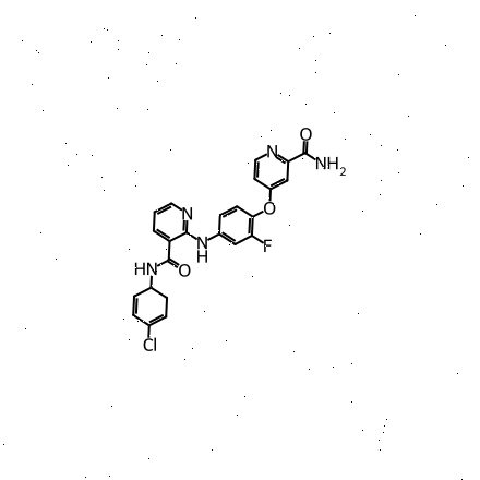 NC(=O)c1cc(Oc2ccc(Nc3ncccc3C(=O)NC3C=CC(Cl)=CC3)cc2F)ccn1